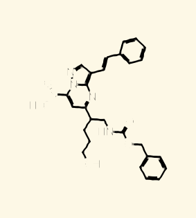 CCCCC(CNC(=O)OCc1ccccc1)c1cc([S+](C)[O-])n2ncc(/C=C/c3ccccc3)c2n1